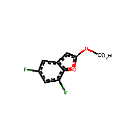 O=C(O)Oc1cc2cc(F)cc(F)c2o1